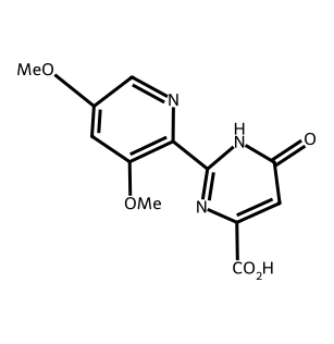 COc1cnc(-c2nc(C(=O)O)cc(=O)[nH]2)c(OC)c1